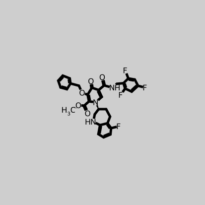 COC(=O)c1c(OCc2ccccc2)c(=O)c(C(=O)NCc2c(F)cc(F)cc2F)cn1[C@H]1CCc2c(F)cccc2NC1